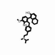 COc1ccc(-c2c(O)ccc3c2CCCC3)c(Cc2ccc(CCN(C)C(C)C)cc2)c1N